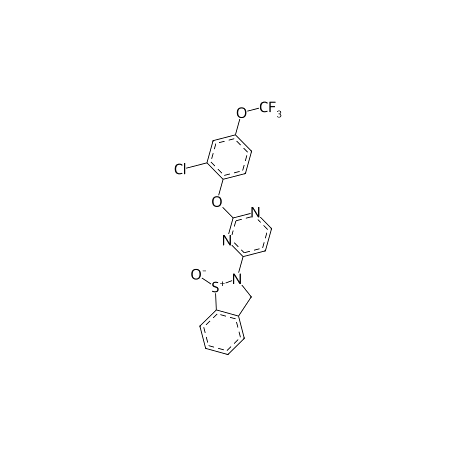 [O-][S+]1c2ccccc2CN1c1ccnc(Oc2ccc(OC(F)(F)F)cc2Cl)n1